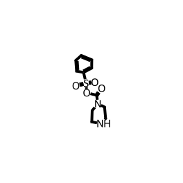 O=C(OS(=O)(=O)c1ccccc1)N1CCNCC1